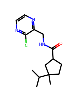 CC(C)C1(C)CCC(C(=O)NCc2nccnc2Cl)C1